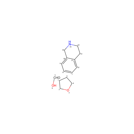 C1CCOC1.O=CO.c1ccc2c(c1)CCNC2